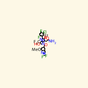 CCOc1c(CC(N)=O)cc([C@@](O)(CNC(=O)c2cc(OC)c3nn(C(F)F)cc3c2)C(F)(F)F)nc1-c1cc(Cl)c(F)cc1F